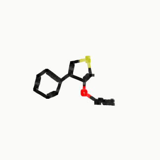 CCCCCOc1[c]scc1-c1ccccc1